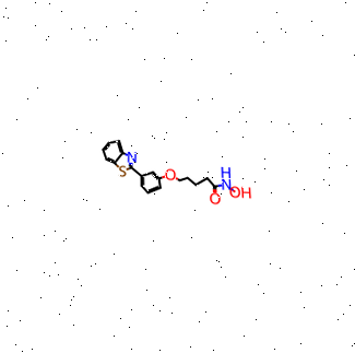 O=C(CCCCOc1cccc(-c2nc3ccccc3s2)c1)NO